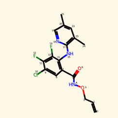 C=CCONC(=O)c1cc(Cl)c(F)c(F)c1Nc1ncc(C)cc1C